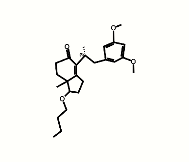 CCCCOC1CCC2=C([C@H](C)Cc3cc(OC)cc(OC)c3)C(=O)CCC21C